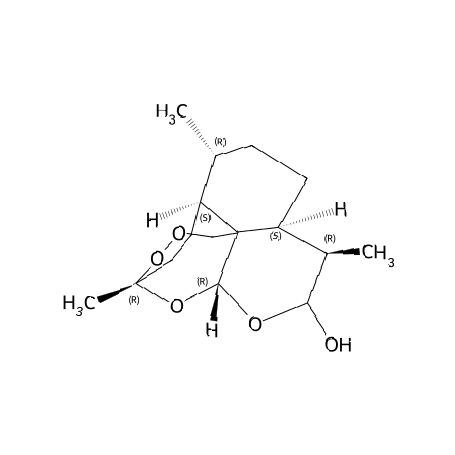 C[C@@H]1CC[C@H]2[C@@H](C)C(O)O[C@@H]3O[C@@]4(C)CC[C@@H]1C32COO4